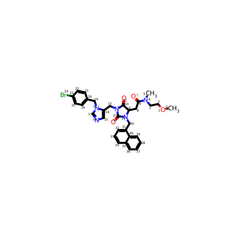 COCCN(C)C(=O)CC1C(=O)N(Cc2cncn2Cc2ccc(Br)cc2)C(=O)N1Cc1cccc2ccccc12